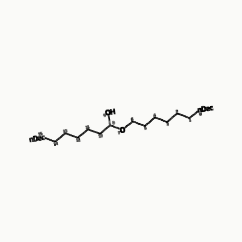 CCCCCCCCCCCCCCCCOC(O)CCCCCCCCCCCCCCC